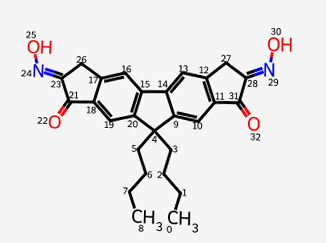 CCCCC1(CCCC)c2cc3c(cc2-c2cc4c(cc21)C(=O)/C(=N/O)C4)C/C(=N\O)C3=O